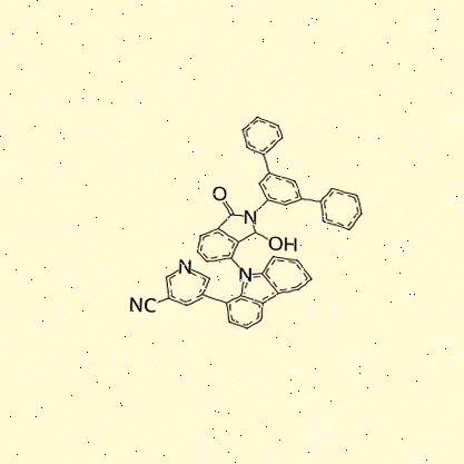 N#Cc1cncc(-c2cccc3c4ccccc4n(-c4cccc5c4C(O)N(c4cc(-c6ccccc6)cc(-c6ccccc6)c4)C5=O)c23)c1